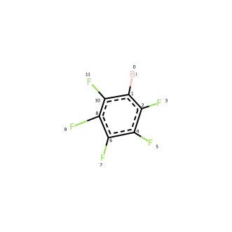 [B]c1c(F)c(F)c(F)c(F)c1F